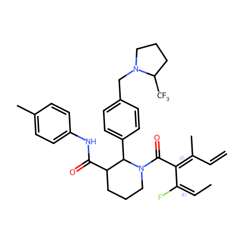 C=C/C(C)=C(C(=O)N1CCCC(C(=O)Nc2ccc(C)cc2)C1c1ccc(CN2CCCC2C(F)(F)F)cc1)\C(F)=C/C